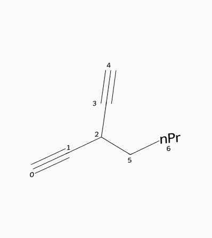 C#CC(C#C)CCCC